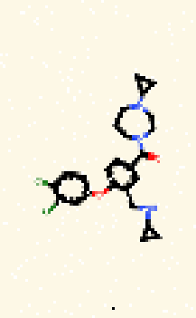 O=C(c1ccc(Oc2ccc(Cl)c(Cl)c2)c(CNC2CC2)c1)N1CCCN(C2CC2)CC1